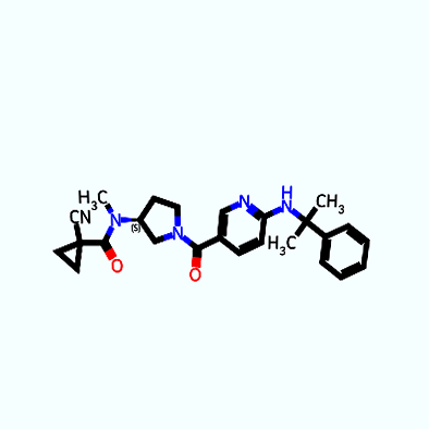 CN(C(=O)C1(C#N)CC1)[C@H]1CCN(C(=O)c2ccc(NC(C)(C)c3ccccc3)nc2)C1